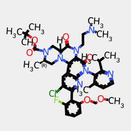 COCOc1cccc(F)c1-c1nc2c(cc1Cl)c1c(c(=O)n2-c2c(C)ccnc2C(C)C)N(CCN(C)C)C(=O)[C@H]2CN(C(=O)OC(C)(C)C)[C@H](C)CN12